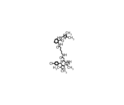 CC1=NNC2[C@H](CC(=O)NCCCCC(=O)Nc3ccccc3C(=O)Nc3nc(C)c(C)s3)N=C(c3ccc(Cl)cc3)C3=C(SC(C)C3C)N12